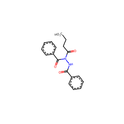 O=C(O)CCC(=O)N(NC(=O)c1ccccc1)C(=O)c1ccccc1